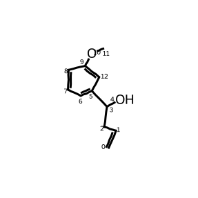 C=CCC(O)c1cccc(OC)c1